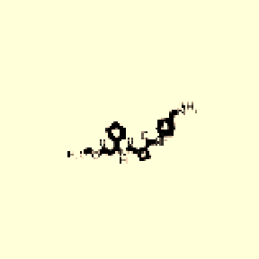 CCOC(=O)CC(NC(=O)C1CCC1C(=O)Nc1ccc(C=NN)cc1)c1ccccc1